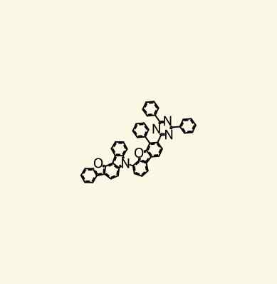 c1ccc(-c2nc(-c3ccccc3)nc(-c3ccc4c(oc5c(-n6c7ccccc7c7c8oc9ccccc9c8ccc76)cccc54)c3-c3ccccc3)n2)cc1